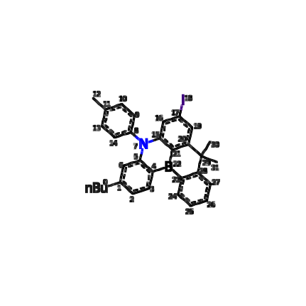 CCCCc1ccc2c(c1)N(c1ccc(C)cc1)c1cc(I)cc3c1B2c1ccccc1C3(C)C